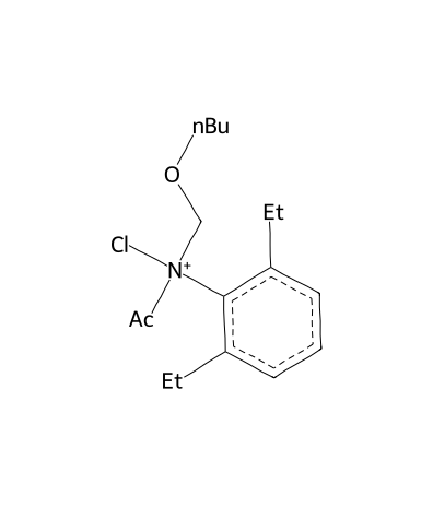 CCCCOC[N+](Cl)(C(C)=O)c1c(CC)cccc1CC